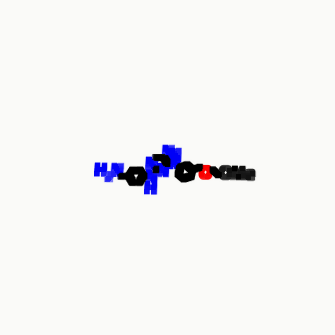 COCCOCc1cccc(-n2nnc3cnc(Nc4ccc(CN)cc4)nc32)c1